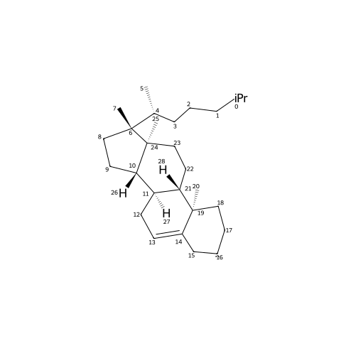 CC(C)CCC[C@@H](C)[C@@]1(C)CC[C@H]2[C@@H]3CC=C4C[C]CC[C@]4(C)[C@H]3CC[C@@]21C